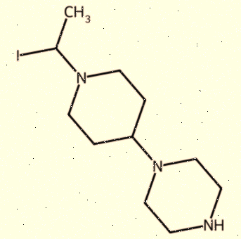 CC(I)N1CCC(N2CCNCC2)CC1